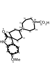 COc1ccc2c(c1)NC(=O)C21CCC(N2CCCN(C(=O)O)CC2)CC1